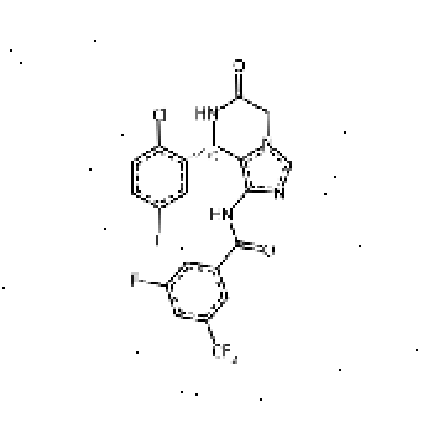 O=C1Cn2cnc(NC(=O)c3cc(F)cc(C(F)(F)F)c3)c2[C@H](c2cc(F)ccc2Cl)N1